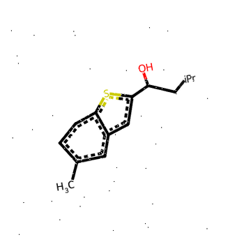 Cc1ccc2sc(C(O)CC(C)C)cc2c1